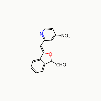 O=CC1OC(=Cc2cc([N+](=O)[O-])ccn2)c2ccccc21